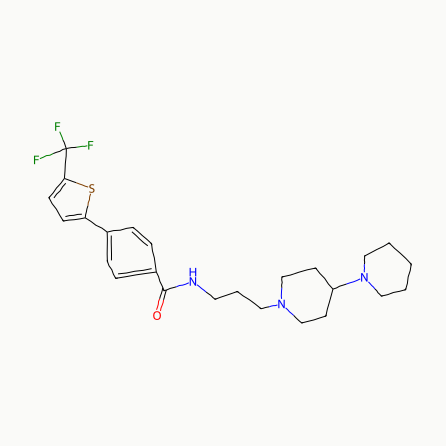 O=C(NCCCN1CCC(N2CCCCC2)CC1)c1ccc(-c2ccc(C(F)(F)F)s2)cc1